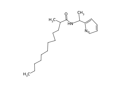 CCCCCCCCCCC(C)C(=O)NC(C)c1ccccn1